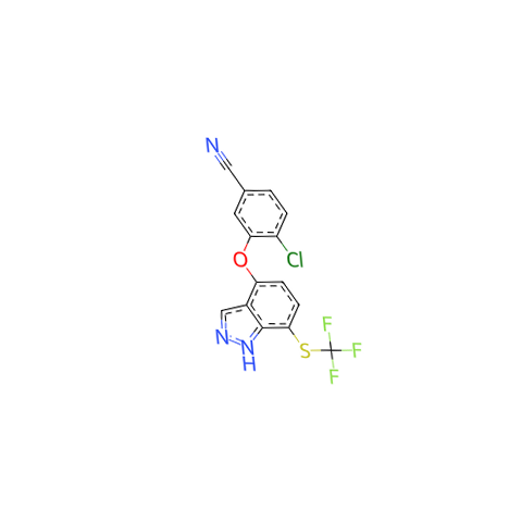 N#Cc1ccc(Cl)c(Oc2ccc(SC(F)(F)F)c3[nH]ncc23)c1